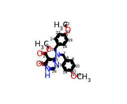 COC(=O)c1c(N(Cc2ccc(OC)cc2)Cc2ccc(OC)cc2)nc[nH]c1=O